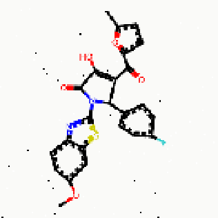 COc1ccc2nc(N3C(=O)C(O)=C(C(=O)c4ccc(C)o4)C3c3ccc(F)cc3)sc2c1